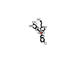 C#CCCC1C[N+](C(=O)c2nc3c(s2)CNC(C)C3)(S(=O)(=O)c2cc3ccc(Cl)cc3s2)CCN1